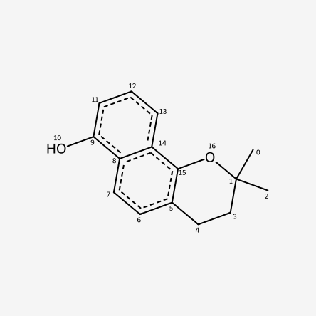 CC1(C)CCc2ccc3c(O)cccc3c2O1